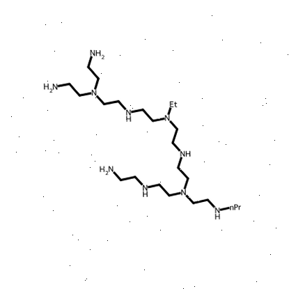 CCCNCCN(CCNCCN)CCNCCN(CC)CCNCCN(CCN)CCN